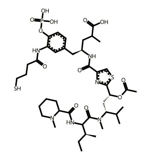 CC[C@H](C)C(NC(=O)C1CCCCN1C)C(=O)N(C)[C@H](C[C@@H](OC(C)=O)c1nc(C(=O)N[C@@H](Cc2ccc(OP(=O)(O)O)c(NC(=O)CCCS)c2)CC(C)C(=O)O)cs1)C(C)C